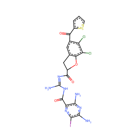 NC(=NC(=O)C1Cc2cc(C(=O)c3cccs3)c(Cl)c(Cl)c2O1)NC(=O)c1nc(I)c(N)nc1N